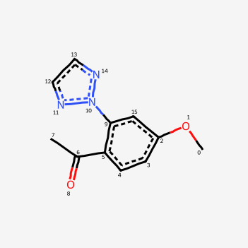 COc1ccc(C(C)=O)c(-n2nccn2)c1